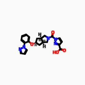 O=C(O)c1ccn(C(=O)N2C[C@H]3C[C@H](Oc4ccccc4-n4cccn4)C[C@H]3C2)n1